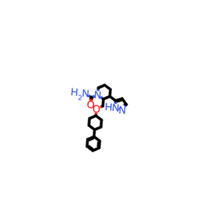 NC(=O)N1CCCC(c2ccn[nH]2)C1COC1CCC(c2ccccc2)CC1